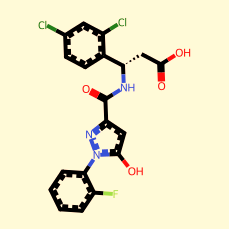 O=C(O)C[C@H](NC(=O)c1cc(O)n(-c2ccccc2F)n1)c1ccc(Cl)cc1Cl